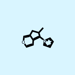 CC1CC2=COC=CC2=C1n1cccc1